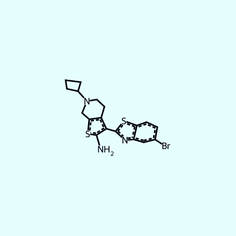 Nc1sc2c(c1-c1nc3cc(Br)ccc3s1)CCN(C1CCC1)C2